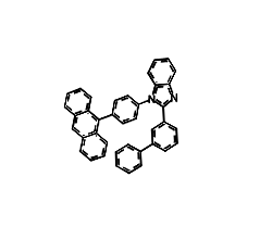 c1ccc(-c2cccc(-c3nc4ccccc4n3-c3ccc(-c4c5ccccc5cc5ccccc45)cc3)c2)cc1